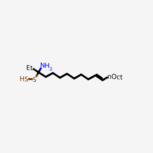 CCCCCCCCC=CCCCCCCCC(N)(CC)SS